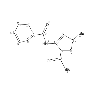 CCC(C)C(=O)c1nn(C(C)(C)C)cc1NC(=O)c1ccncc1